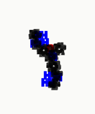 c1ccc([C@@H]2Oc3cc(-c4cnc(-c5ccc[nH]5)[nH]4)ccc3-c3cc(-c4ccc(-c5cnc(-c6ccc[nH]6)[nH]5)cc4)nn32)cc1